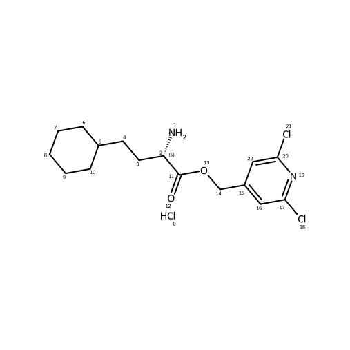 Cl.N[C@@H](CCC1CCCCC1)C(=O)OCc1cc(Cl)nc(Cl)c1